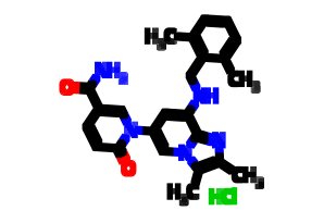 Cc1cccc(C)c1CNc1cc(-n2cc(C(N)=O)ccc2=O)cn2c(C)c(C)nc12.Cl